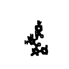 Cc1cccc(-c2sc(C)nc2C(=O)N2C[C@@H]3C[C@@H]3[C@H]2CNC(=O)c2ccc(Br)cc2)c1